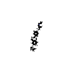 C=C/C=C\C(=C)COc1ccc(-c2ncc3cc(-n4ccnc4)ccc3n2)cc1